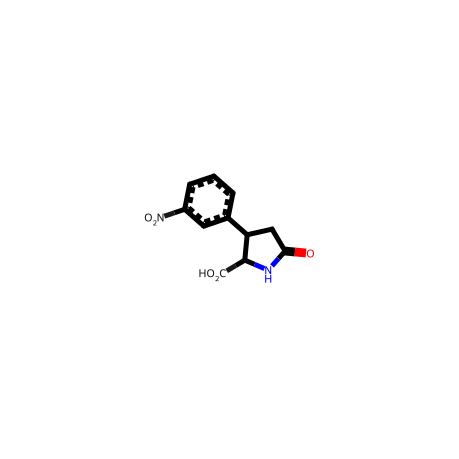 O=C1CC(c2cccc([N+](=O)[O-])c2)C(C(=O)O)N1